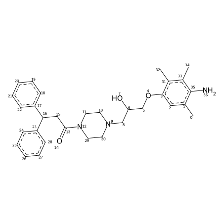 Cc1cc(OCC(O)CN2CCN(C(=O)CC(c3ccccc3)c3ccccc3)CC2)c(C)c(C)c1N